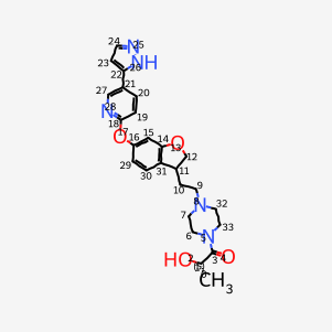 C[C@H](O)C(=O)N1CCN(CCC2COc3cc(Oc4ccc(-c5ccn[nH]5)cn4)ccc32)CC1